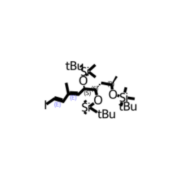 CC(/C=C/I)=C\[C@H](O[Si](C)(C)C(C)(C)C)[C@H](C[C@@H](C)O[Si](C)(C)C(C)(C)C)O[Si](C)(C)C(C)(C)C